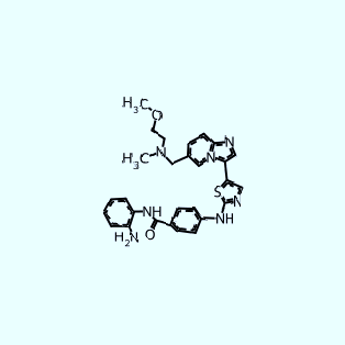 COCCN(C)Cc1ccc2ncc(-c3cnc(Nc4ccc(C(=O)Nc5ccccc5N)cc4)s3)n2c1